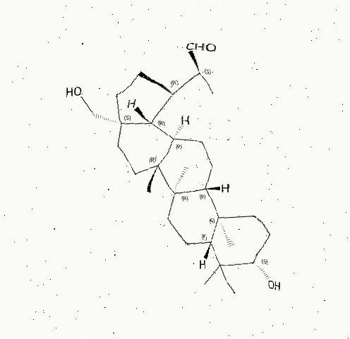 C[C@H](C=O)[C@@H]1CC[C@]2(CO)CC[C@]3(C)[C@H](CC[C@@H]4[C@@]5(C)CC[C@H](O)C(C)(C)[C@@H]5CC[C@]43C)[C@@H]12